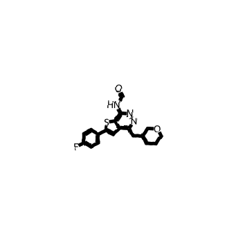 O=CNc1nnc(CC2CCCOC2)c2cc(-c3ccc(F)cc3)sc12